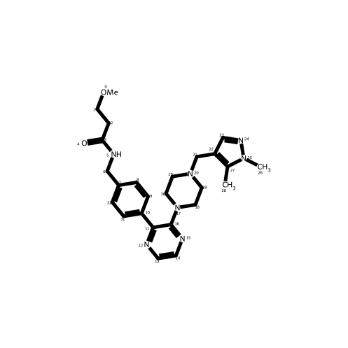 COCCC(=O)NCc1ccc(-c2nccnc2N2CCN(Cc3cnn(C)c3C)CC2)cc1